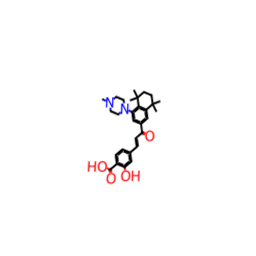 CN1CCN(c2cc(C(=O)C=Cc3ccc(C(=O)O)c(O)c3)cc3c2C(C)(C)CCC3(C)C)CC1